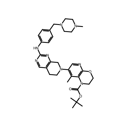 Cc1c(N2CCc3cnc(Nc4ccc(CN5CCN(C)CC5)cc4)nc3C2)cnc2c1N(C(=O)OC(C)(C)C)CCO2